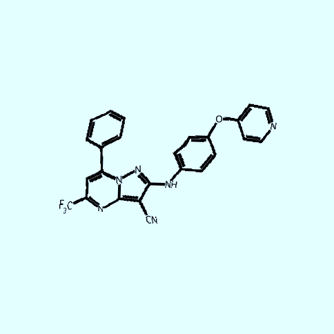 N#Cc1c(Nc2ccc(Oc3ccncc3)cc2)nn2c(-c3ccccc3)cc(C(F)(F)F)nc12